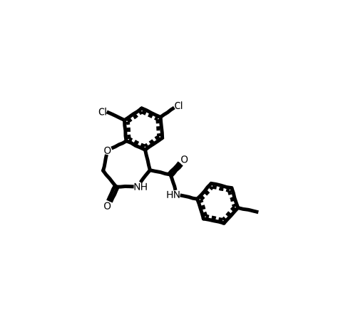 Cc1ccc(NC(=O)C2NC(=O)COc3c(Cl)cc(Cl)cc32)cc1